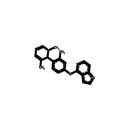 CC1=CN=CN(C)C1c1ccc(Oc2nccc3occc23)cc1C